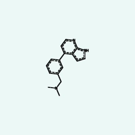 CN(C)Cc1cccc(-c2ccnc3[nH]ccc23)c1